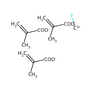 C=C(C)C(=O)[O-].C=C(C)C(=O)[O-].C=C(C)C(=O)[O-].[C+3]F